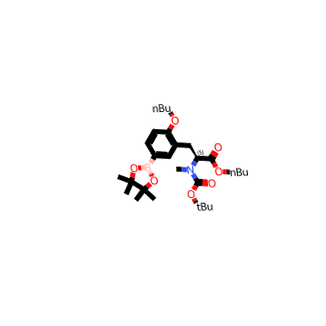 CCCCOC(=O)[C@H](Cc1cc(B2OC(C)(C)C(C)(C)O2)ccc1OCCCC)N(C)C(=O)OC(C)(C)C